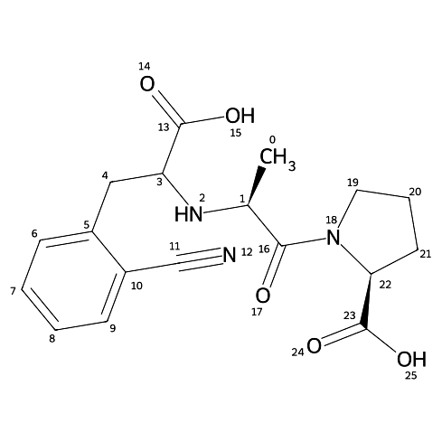 C[C@H](NC(Cc1ccccc1C#N)C(=O)O)C(=O)N1CCC[C@H]1C(=O)O